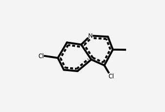 Cc1cnc2cc(Cl)ccc2c1Cl